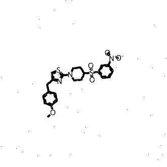 COc1ccc(Cc2csc(N3CCC(S(=O)(=O)c4cccc([N+](=O)[O-])c4)CC3)n2)cc1